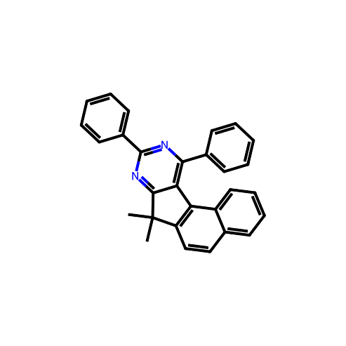 CC1(C)c2ccc3ccccc3c2-c2c(-c3ccccc3)nc(-c3ccccc3)nc21